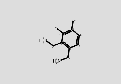 Cc1ccc(CN)c(CN)c1F